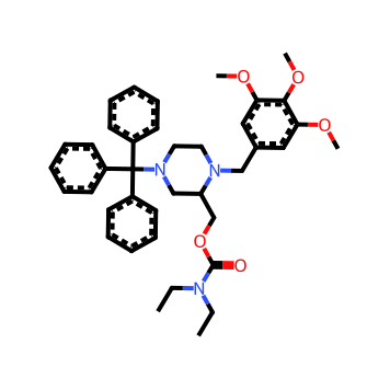 CCN(CC)C(=O)OCC1CN(C(c2ccccc2)(c2ccccc2)c2ccccc2)CCN1Cc1cc(OC)c(OC)c(OC)c1